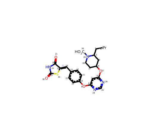 CC(C)CC1CC(Oc2cc(Oc3ccc(/C=C4\SC(=O)NC4=O)cc3)ncn2)CCN1C(=O)O